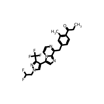 CCC(=O)c1ccc(Cc2nccn3c(-c4cn(CC(F)F)nc4C(F)(F)F)cnc23)cc1C